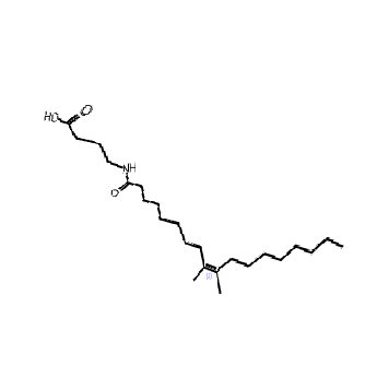 CCCCCCCC/C(C)=C(/C)CCCCCCCC(=O)NCCCC(=O)O